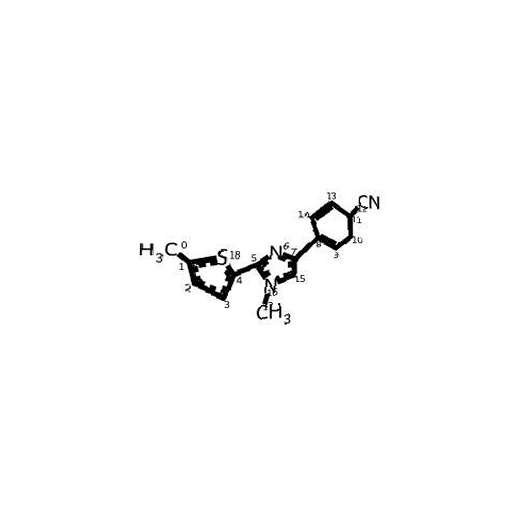 Cc1ccc(-c2nc(C3=CCC(C#N)C=C3)cn2C)s1